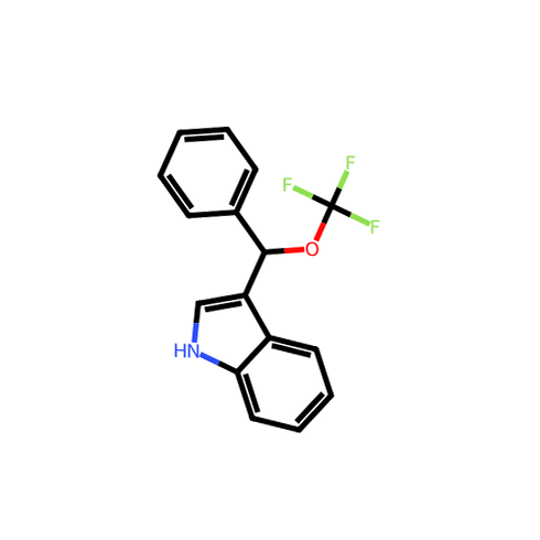 FC(F)(F)OC(c1ccccc1)c1c[nH]c2ccccc12